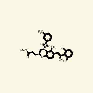 COC(=O)CC[C@H]1CN(S(=O)(=O)c2cccc(C(F)(F)F)c2)c2c(ccc(/C=C(\C)c3c(F)cccc3Cl)c2C)O1